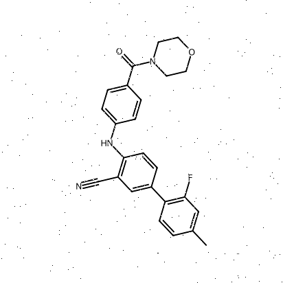 Cc1ccc(-c2ccc(Nc3ccc(C(=O)N4CCOCC4)cc3)c(C#N)c2)c(F)c1